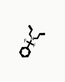 C=CCN(CC=C)C(F)(F)c1ccccc1